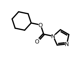 O=C(OC1CCCCC1)n1ccnc1